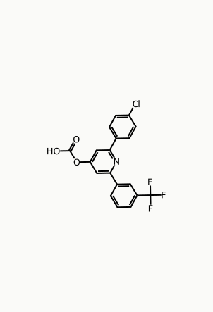 O=C(O)Oc1cc(-c2ccc(Cl)cc2)nc(-c2cccc(C(F)(F)F)c2)c1